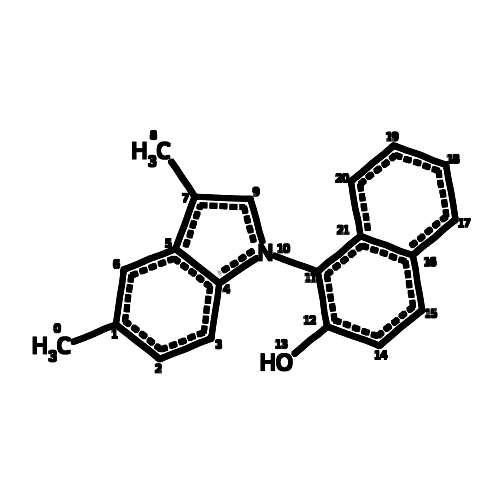 Cc1ccc2c(c1)c(C)cn2-c1c(O)ccc2ccccc12